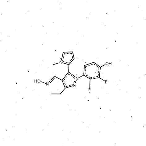 CCc1nn(-c2ccc(O)c(F)c2F)c(-c2cccn2C)c1/C=N/O